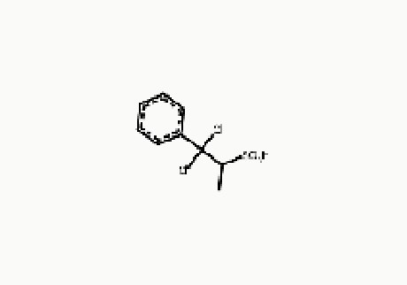 CC(C(Cl)(Cl)c1ccccc1)S(=O)(=O)O